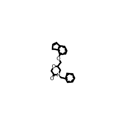 O=C1COC(COc2cccc3c2CC=C3)CN1Cc1ccccc1